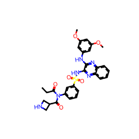 CCC(=O)N(C(=O)C1CNC1)c1cccc(S(=O)(=O)Nc2nc3ccccc3nc2Nc2cc(OC)cc(OC)c2)c1